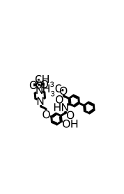 COC(=O)c1ccc(-c2ccccc2)cc1NC(=O)c1cc(OCCN2CCN(S(C)(=O)=O)CC2)ccc1O